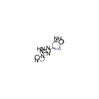 N[C@H]1CC/C(c2cnc3c(N4CCCc5ncccc54)n[nH]c3n2)=C\C2CC2c2ccccc21